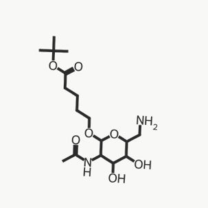 CC(=O)NC1C(OCCCCC(=O)OC(C)(C)C)OC(CN)C(O)C1O